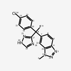 Cn1nnc2ccc(C(F)(c3ccc(Cl)cc3)c3nc[nH]n3)cc21